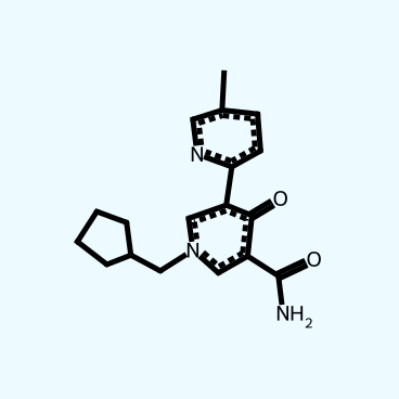 Cc1ccc(-c2cn(CC3CCCC3)cc(C(N)=O)c2=O)nc1